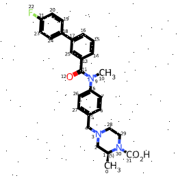 C[C@H]1CN(Cc2ccc(N(C)C(=O)c3cccc(-c4ccc(F)cc4)c3)cc2)CCN1C(=O)O